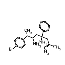 C=C(C)CC(N)(CC(N)[C@@H](C)c1ccc(Br)cc1)c1ccccc1